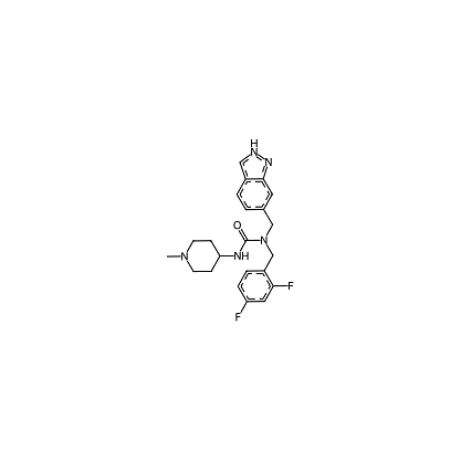 CN1CCC(NC(=O)N(Cc2ccc3c[nH]nc3c2)Cc2ccc(F)cc2F)CC1